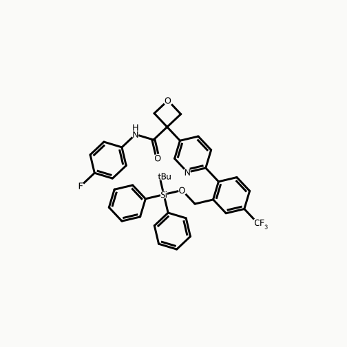 CC(C)(C)[Si](OCc1cc(C(F)(F)F)ccc1-c1ccc(C2(C(=O)Nc3ccc(F)cc3)COC2)cn1)(c1ccccc1)c1ccccc1